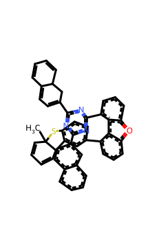 CC12C=CC=CC1c1cc(-c3cccc4oc5cccc(-c6nc(C7=CC=C8C=CC=CC8C7)nc(-c7ccc8ccccc8c7)n6)c5c34)ccc1S2